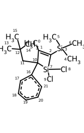 CC1=C([Si](C)(C)C)[Si](Cl)(Cl)C1(CC(C)(C)C)c1ccccc1